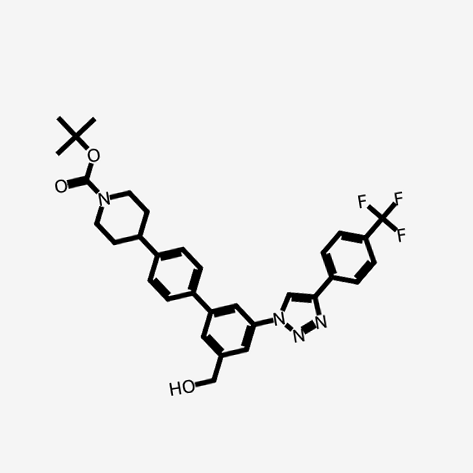 CC(C)(C)OC(=O)N1CCC(c2ccc(-c3cc(CO)cc(-n4cc(-c5ccc(C(F)(F)F)cc5)nn4)c3)cc2)CC1